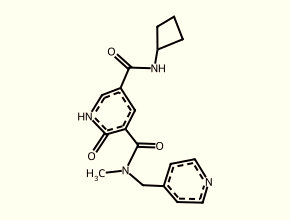 CN(Cc1ccncc1)C(=O)c1cc(C(=O)NC2CCC2)c[nH]c1=O